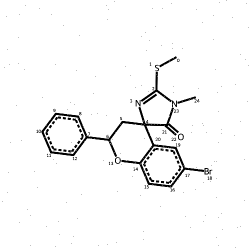 CSC1=NC2(CC(c3ccccc3)Oc3ccc(Br)cc32)C(=O)N1C